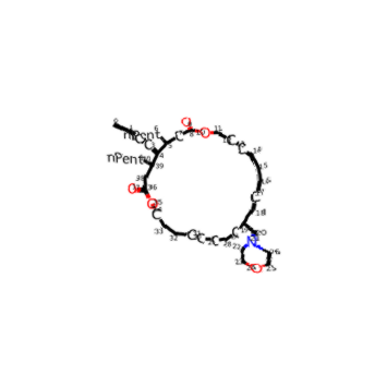 C=C=C=C=C1C(CCCCC)CC(=O)OCCCCCCCCC(CN2CCOCC2)CCCCCCCCOC(=O)CC1CCCCC